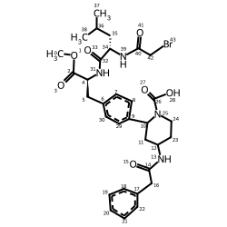 COC(=O)[C@H](Cc1ccc(C2CC(NC(=O)Cc3ccccc3)CCN2C(=O)O)cc1)NC(=O)[C@H](CC(C)C)NC(=O)CBr